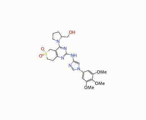 COc1cc(-n2cnc(Nc3nc4c(c(N5CCCC5CO)n3)CS(=O)(=O)CC4)c2)cc(OC)c1OC